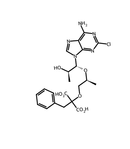 C[C@@H](COC(Cc1ccccc1)(C(=O)O)C(=O)O)O[C@H]([C@@H](C)O)n1cnc2c(N)nc(Cl)nc21